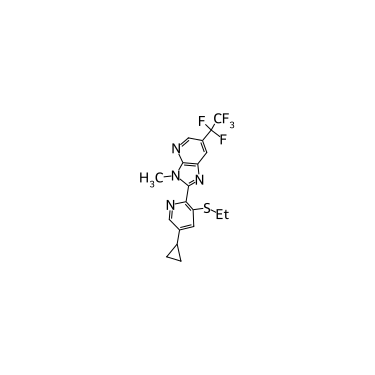 CCSc1cc(C2CC2)cnc1-c1nc2cc(C(F)(F)C(F)(F)F)cnc2n1C